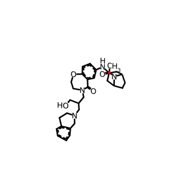 CC(=O)N1C2CCC1CC(Nc1ccc3c(c1)C(=O)N(CC(CO)CN1CCc4ccccc4C1)CCO3)C2